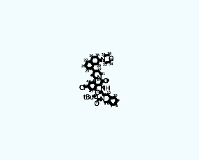 CC(C)(C)OC(=O)N1Cc2ccccc2CC1C(=O)NC(C(=O)N1CCC(c2cccc3c2CC(N2CCOCC2)CC3)CC1)c1ccc(Cl)cc1